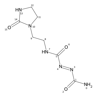 NC(=O)N=NC(=O)NCCN1CCNC1=O